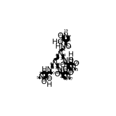 C=C(NCCN(CCCN(CCNC(=O)c1ccn(C)c(=O)c1O)CCNC(=O)c1ccn(C)c(=O)c1O)CCNC(=O)c1ccn(C)c(=O)c1O)c1ccn(C)c(=O)c1O